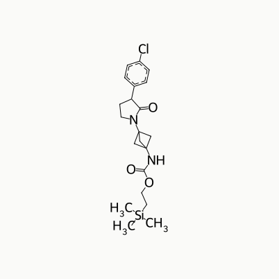 C[Si](C)(C)CCOC(=O)NC12CC(N3CCC(c4ccc(Cl)cc4)C3=O)(C1)C2